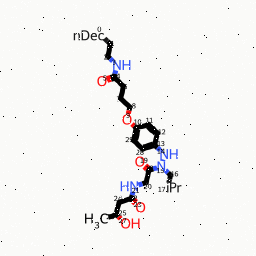 CCCCCCCCCCCCNC(=O)CCCOc1ccc(NN(CC(C)C)C(=O)CNC(=O)CC(C)O)cc1